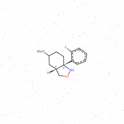 COC1CC[C@]2(c3ccccc3F)NOC[C@@H]2C1